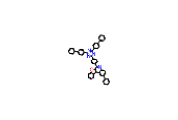 c1ccc(-c2ccc(-c3nc(-c4ccc(-c5ccccc5)cc4)nc(-c4ccc(-c5nc6ccc(-c7ccccc7)cc6c6c5oc5ccccc56)cc4)n3)cc2)cc1